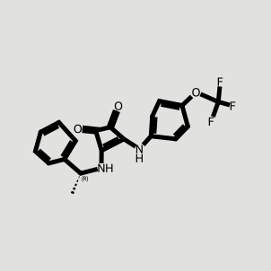 C[C@@H](Nc1c(Nc2ccc(OC(F)(F)F)cc2)c(=O)c1=O)c1ccccc1